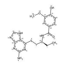 CC[C@@H](CSc1nc(N)nc2nc[nH]c12)NC(=O)c1ccc(O)c(OC)c1